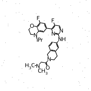 CC(C)N1CCOc2c(F)cc(-c3nc(Nc4ccc5c(c4)CCN(C(=O)CN(C)C)C5)ncc3F)cc21